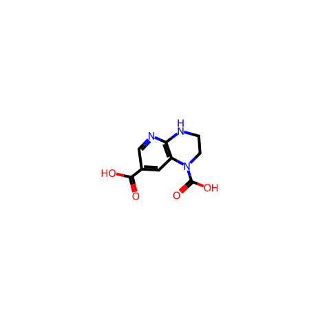 O=C(O)c1cnc2c(c1)N(C(=O)O)CCN2